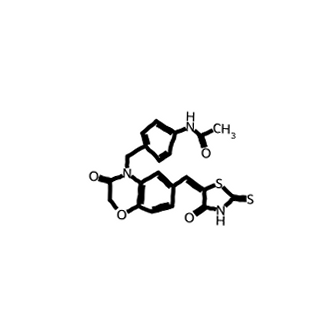 CC(=O)Nc1ccc(CN2C(=O)COc3ccc(/C=C4/SC(=S)NC4=O)cc32)cc1